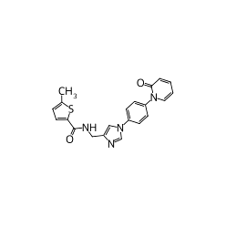 Cc1ccc(C(=O)NCc2cn(-c3ccc(-n4ccccc4=O)cc3)cn2)s1